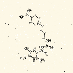 CCCC(N)C1CCN(CCCCNC(=N)NC(=O)c2nc(Cl)c(N)nc2N)CC1